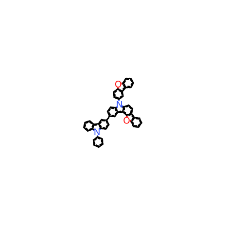 c1ccc(-n2c3ccccc3c3cc(-c4ccc5c(c4)c4c6oc7ccccc7c6ccc4n5-c4ccc5oc6ccccc6c5c4)ccc32)cc1